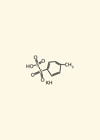 Cc1ccc(S(=O)(=O)S(=O)(=O)O)cc1.[KH]